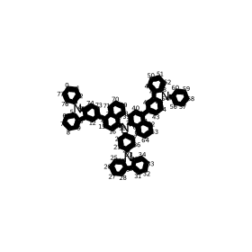 c1ccc(-n2c3ccccc3c3cc(-c4ccc(N(c5ccc(-n6c7ccccc7c7ccccc76)cc5)c5ccc(-c6ccc7c(c6)c6ccccc6n7-c6ccccc6)c6ccccc56)c5ccccc45)ccc32)cc1